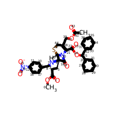 COC(=O)CC[C@]1(N=Cc2ccc([N+](=O)[O-])cc2)C(=O)N2C(C(=O)OC(c3ccccc3)c3ccccc3)=C(COC(C)=O)CS[C@@H]21